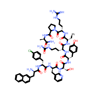 CC(C)C[C@H](NC(=O)[C@@H](CCCNC(N)=O)NC(=O)[C@H](Cc1ccc(O)cc1)NC(=O)[C@H](CO)NC(=O)[C@@H](Cc1cccnc1)NC(=O)[C@@H](Cc1ccc(Cl)cc1)NC(=O)[C@H](N)Cc1ccc2ccccc2c1)C(=O)N[C@@H](CCCNC(=N)N)C(=O)N1CCCC1C(=O)N[C@H](C)C(N)=O